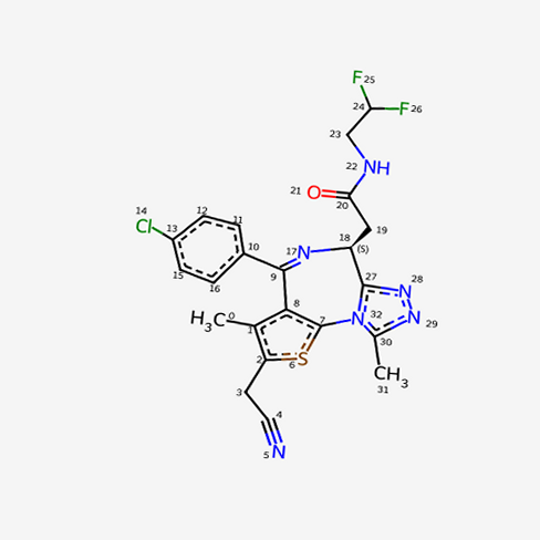 Cc1c(CC#N)sc2c1C(c1ccc(Cl)cc1)=N[C@@H](CC(=O)NCC(F)F)c1nnc(C)n1-2